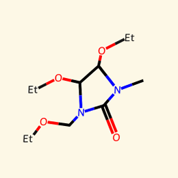 CCOCN1C(=O)N(C)C(OCC)C1OCC